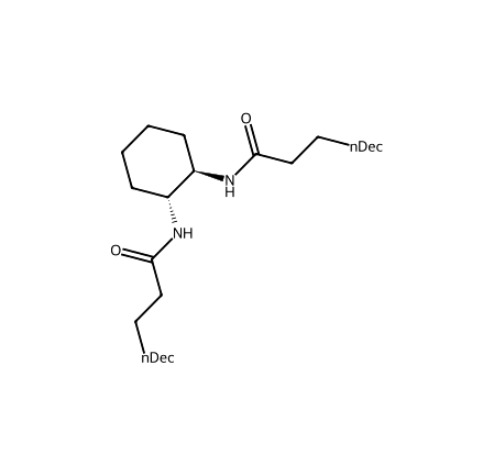 CCCCCCCCCCCCC(=O)N[C@@H]1CCCC[C@H]1NC(=O)CCCCCCCCCCCC